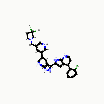 Fc1ccccc1-c1ccnc2[nH]c(-c3n[nH]c4ncc(-c5cncc(CN6CCC(F)(F)C6)c5)cc34)cc12